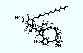 CCCCCCCCCCCCCC(=O)N(C)[C@H](CCO)C(=O)N[C@H](N)C(=O)NCC(=O)N(C)[C@@H]1C(=O)N[C@@H](C)C(=O)N[C@H](C(=O)O)Cc2ccc(O)c(c2)-c2cc1ccc2O